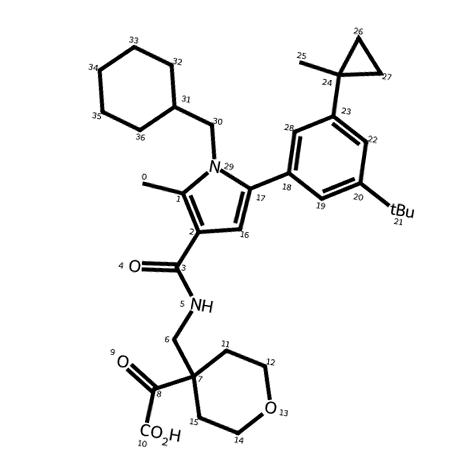 Cc1c(C(=O)NCC2(C(=O)C(=O)O)CCOCC2)cc(-c2cc(C(C)(C)C)cc(C3(C)CC3)c2)n1CC1CCCCC1